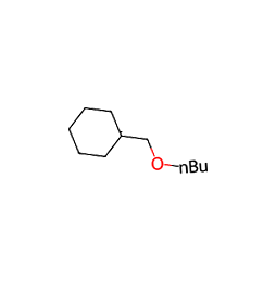 CCCCOC[C]1CCCCC1